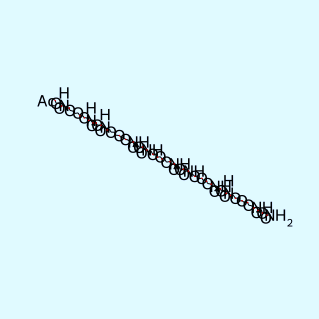 CC(=O)COCC(=O)NCCOCCOCCOCCNC(=O)COCC(=O)NCCOCCOCCOCCNC(=O)COCC(=O)NCCOCCOCCOCCNC(=O)COCC(=O)NCCOCCOCCOCCNC(=O)COCC(=O)NCCOCCOCCOCCNC(=O)COCC(N)=O